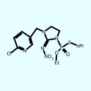 CCCSP(=O)(OCC)N1CCN(Cc2ccc(Cl)nc2)C1=N[N+](=O)[O-]